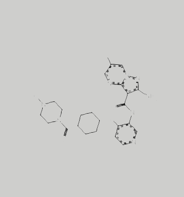 CN1CCN(C(=O)[C@H]2CC[C@@H](Oc3ccncc3NC(=O)c3c(N)nn4cc(F)cnc34)CC2)CC1